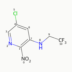 O=[N+]([O-])c1ncc(Cl)cc1NCC(F)(F)F